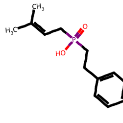 CC(C)=CCP(=O)(O)CCc1ccccc1